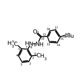 Cc1cccc(C)c1NNC(=O)c1ccc(C(C)(C)C)cc1